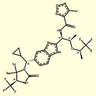 [2H]C1([2H])[C@H](C(F)(F)F)NC(=O)N1[C@@H](c1ccc2[nH]c([C@@H](NC(=O)c3nonc3C)[C@@H](C)O[C@H](C)C(F)(F)F)nc2c1)C1CC1